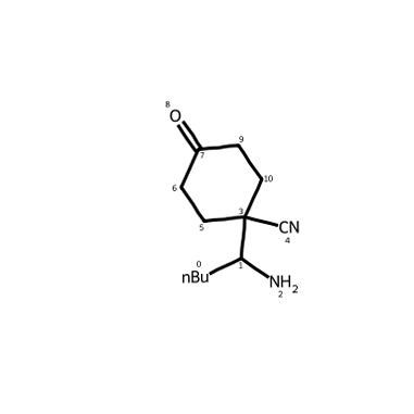 CCCCC(N)C1(C#N)CCC(=O)CC1